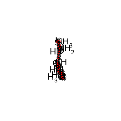 Cc1ncsc1-c1ccc([C@@H](N)CC(=O)NCCCCCCCCNC(=O)c2ccc(C(=O)Nc3ccc4[nH]c(CN5CCC[C@@H]5C)nc4c3)cc2)cc1